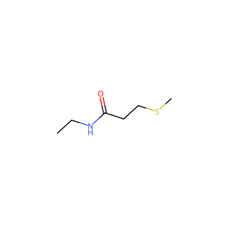 CCNC(=O)CCSC